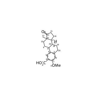 COc1cc2c(cc1C(=O)O)C1CCC3(C)C(=O)CCC3[C@H]1CC2